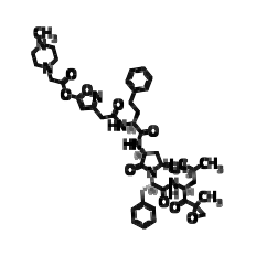 CC(C)C[C@H](NC(=O)[C@H](Cc1ccccc1)N1C(=O)[C@@H](NC(=O)[C@H](CCc2ccccc2)NC(=O)Cc2cc(OC(=O)CN3CCN(C)CC3)on2)CC1C)C(=O)C1(C)CO1